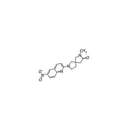 CN1CC2(CCN(c3ccc4cc([N+](=O)[O-])ccc4n3)C2)CC1=O